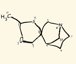 CC1OCC2(CN3CCC2C3)S1